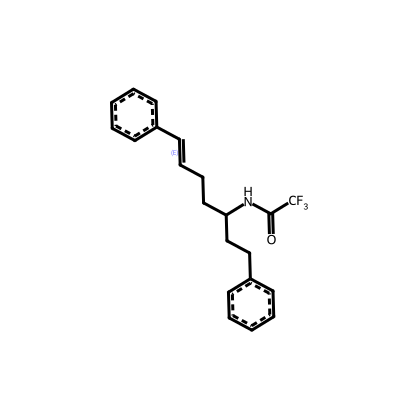 O=C(NC(CC/C=C/c1ccccc1)CCc1ccccc1)C(F)(F)F